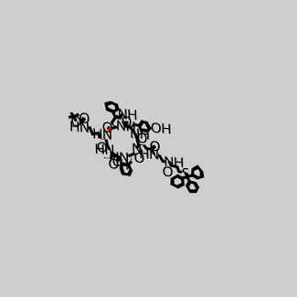 C[C@@H](O)[C@@H]1NC(=O)[C@H](CCCCNC(=O)OC(C)(C)C)NC(=O)[C@@H](Cc2c[nH]c3ccccc23)NC(=O)[C@H](Cc2ccc(O)cc2)NC(=O)[C@H](CCC(=O)NCCNC(=O)CCSC(c2ccccc2)(c2ccccc2)c2ccccc2)N(C)C(=O)[C@H](Cc2ccccc2)NC1=O